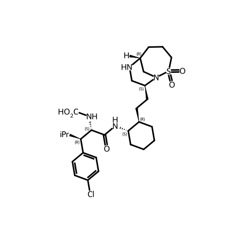 CC(C)[C@H](c1ccc(Cl)cc1)[C@H](NC(=O)O)C(=O)N[C@H]1CCCC[C@@H]1CC[C@H]1CN[C@@H]2CCCS(=O)(=O)N1C2